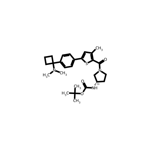 Cc1cc(-c2ccc(C3(N(C)C)CCC3)cc2)sc1C(=O)N1CC[C@H](NC(=O)OC(C)(C)C)C1